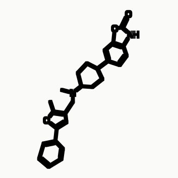 Cc1oc(-c2ccccc2)cc1CN(C)C1CCC(c2ccc3[nH]c(=O)oc3c2)CC1